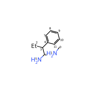 CN.[CH2]CC(CN)c1ccccc1